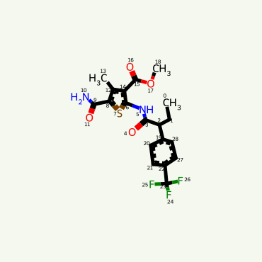 CCC(C(=O)Nc1sc(C(N)=O)c(C)c1C(=O)OC)c1ccc(C(F)(F)F)cc1